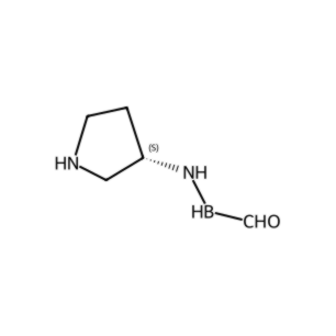 O=CBN[C@H]1CCNC1